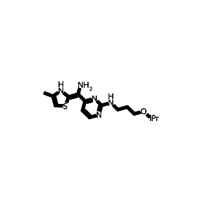 CC1=CS/C(=C(/N)c2ccnc(NCCCOC(C)C)n2)N1